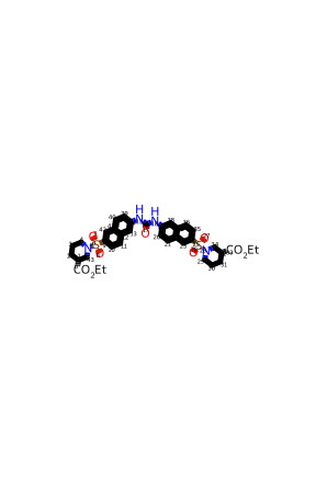 CCOC(=O)C1CCCN(S(=O)(=O)c2ccc3cc(NC(=O)Nc4ccc5cc(S(=O)(=O)N6CCCC(C(=O)OCC)C6)ccc5c4)ccc3c2)C1